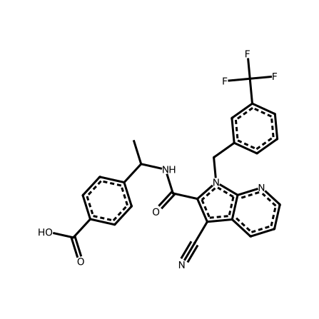 CC(NC(=O)c1c(C#N)c2cccnc2n1Cc1cccc(C(F)(F)F)c1)c1ccc(C(=O)O)cc1